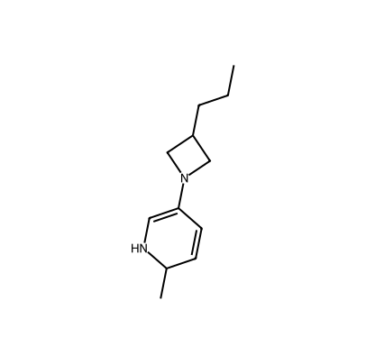 CCCC1CN(C2=CNC(C)C=C2)C1